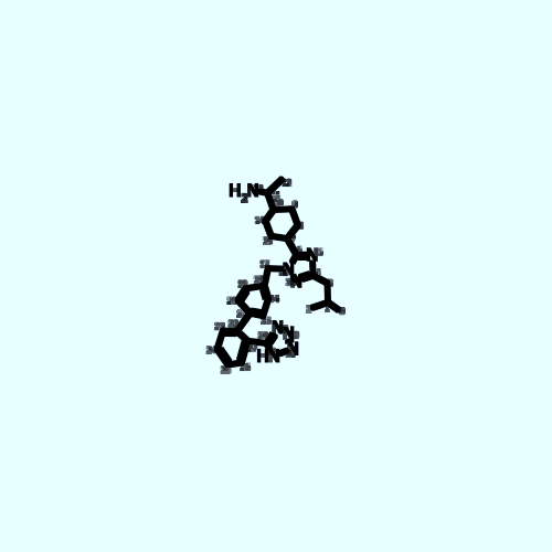 CC(C)Cc1nc(C2CCC(C(C)N)CC2)n(Cc2ccc(-c3ccccc3-c3nnn[nH]3)cc2)n1